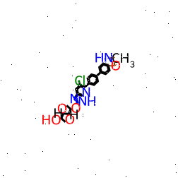 CS(=N)(=O)c1ccc(-c2ccc(-c3nc4[nH]c(O[C@@H]5CO[C@H]6[C@@H]5OC[C@H]6O)nc4cc3Cl)cc2)cc1